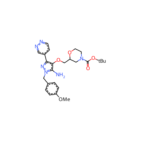 COc1ccc(Cn2nc(-c3ccnnc3)c(OCC3CN(C(=O)OC(C)(C)C)CCO3)c2N)cc1